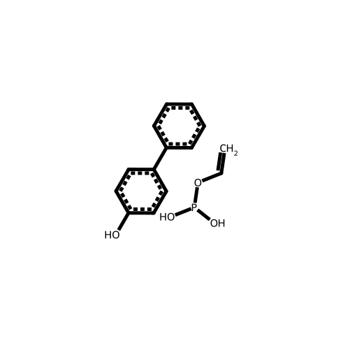 C=COP(O)O.Oc1ccc(-c2ccccc2)cc1